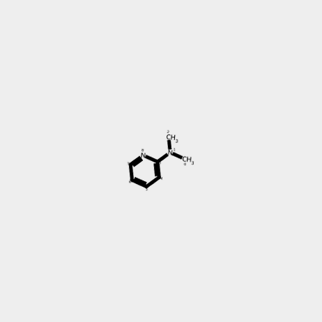 CN(C)c1cc[c]cn1